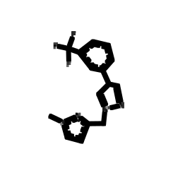 Cn1ccc(C[N+]2=CC(c3cccc(C(F)(F)F)c3)C=N2)n1